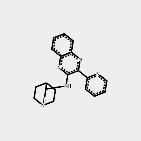 c1ccc(-c2nc3ccccc3nc2NC2CN3CCC2CC3)nc1